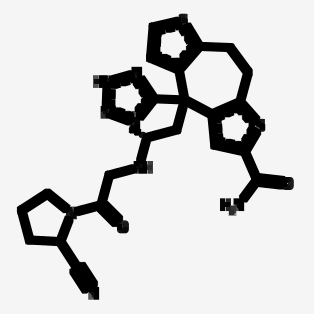 C[C@H](CC1(c2nn[nH]n2)c2ccsc2CCc2sc(C(N)=O)cc21)NCC(=O)N1CCCC1C#N